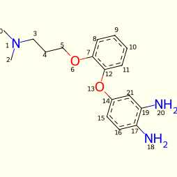 CN(C)CCCOc1ccccc1Oc1ccc(N)c(N)c1